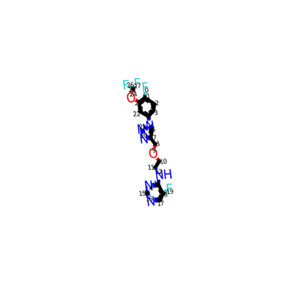 Fc1ccc(-n2cc(COCCNc3ncncc3F)nn2)cc1OC(F)F